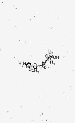 C[C@H]1C[C@@H](CO[PH](=O)OCCSC(=O)C(C)(C)CO)O[C@H]1n1ccc(N)nc1=O